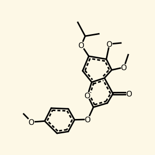 COc1ccc(Oc2cc(=O)c3c(OC)c(OC)c(OC(C)C)cc3o2)cc1